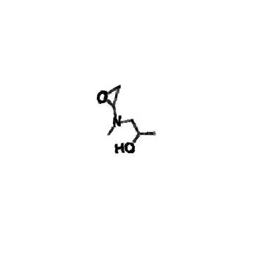 CC(O)CN(C)C1CO1